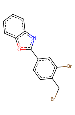 BrCc1ccc(-c2nc3ccccc3o2)cc1Br